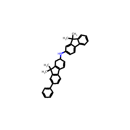 CC1(C)C2=C(C=CC(Nc3ccc4c(c3)C(C)(C)c3ccccc3-4)C2)c2ccc(-c3ccccc3)cc21